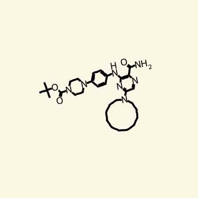 CC(C)(C)OC(=O)N1CCN(c2ccc(Nc3nc(N4CCCCCCCCCCC4)cnc3C(N)=O)cc2)CC1